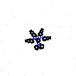 CC1(C)Cc2ccc(N3c4cc5c(cc4B4c6cc7c(cc6N(c6ccc8c(c6)CC(C)(C)C8)c6cc(N8c9ccccc9C9(C)CCCCC89C)cc3c64)CC(C)(C)C7)CC(C)(C)C5)cc2C1